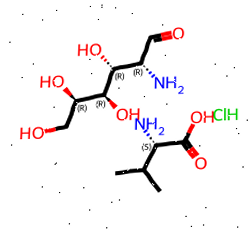 CC(C)[C@H](N)C(=O)O.Cl.N[C@@H](C=O)[C@@H](O)[C@@H](O)[C@H](O)CO